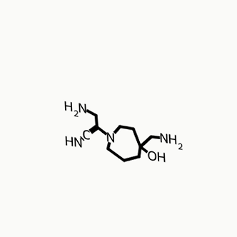 N=C=C(CN)N1CCCC(O)(CN)CC1